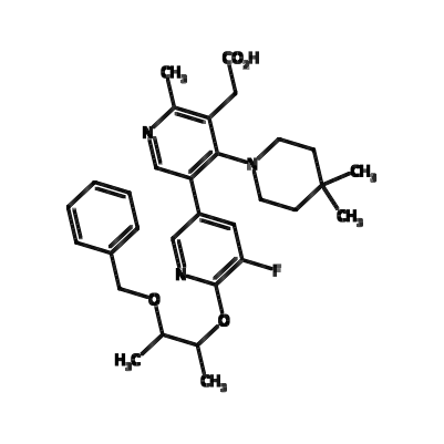 Cc1ncc(-c2cnc(OC(C)C(C)OCc3ccccc3)c(F)c2)c(N2CCC(C)(C)CC2)c1CC(=O)O